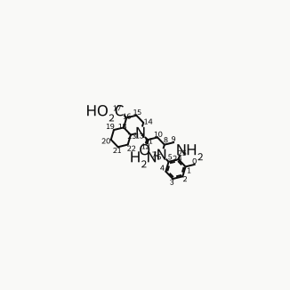 Cc1cccc(N(N)C(C)CC(=O)N2CCC(C(=O)O)C3CCCCC32)c1N